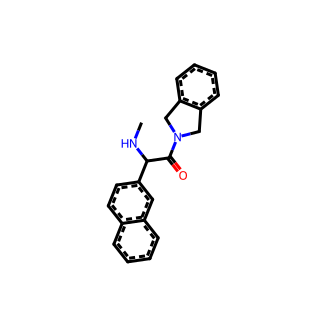 CNC(C(=O)N1Cc2ccccc2C1)c1ccc2ccccc2c1